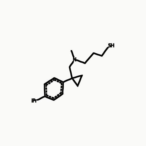 CC(C)c1ccc(C2(CN(C)CCCS)CC2)cc1